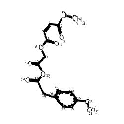 COC(=O)/C=C\C(=O)OCC(=O)OC(=O)Cc1ccc(OC)cc1